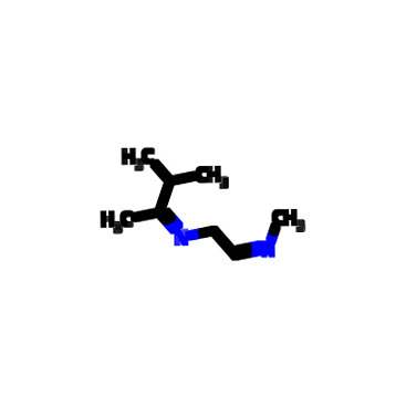 C/N=C\C/N=C(/C)C(C)C